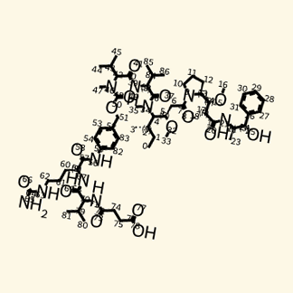 CC[C@H](C)C([C@@H](CC(=O)N1CCC[C@H]1[C@H](OC)[C@@H](C)C(=O)N[C@H](C)[C@@H](O)c1ccccc1)OC)N(C)C(=O)[C@@H](NC(=O)C(C(C)C)N(C)C(=O)OCc1ccc(NC(=O)[C@H](CCCNC(N)=O)NC(=O)C(NC(=O)CCC(=O)O)C(C)C)cc1)C(C)C